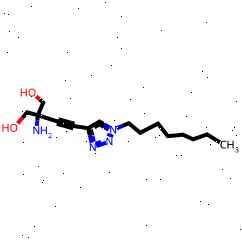 CCCCCCCCn1cc(C#CC(N)(CO)CO)nn1